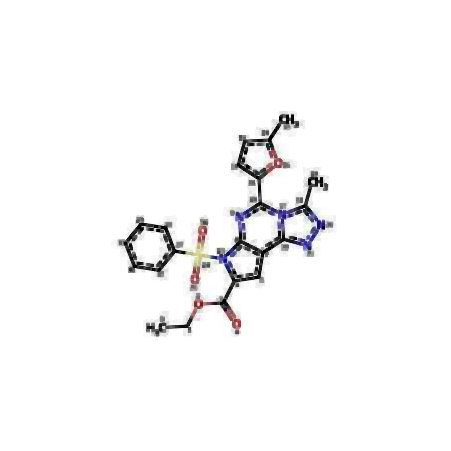 CCOC(=O)c1cc2c(nc(-c3ccc(C)o3)n3c(C)nnc23)n1S(=O)(=O)c1ccccc1